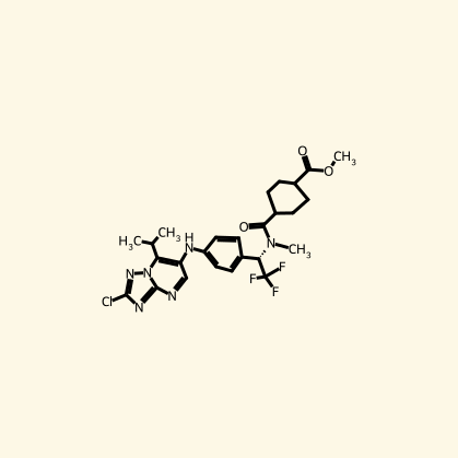 COC(=O)C1CCC(C(=O)N(C)[C@@H](c2ccc(Nc3cnc4nc(Cl)nn4c3C(C)C)cc2)C(F)(F)F)CC1